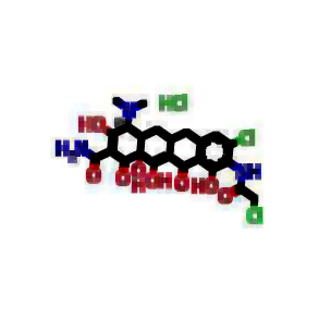 CN(C)[C@@H]1C(O)=C(C(N)=O)C(=O)C2(O)C(O)=C3C(=O)c4c(cc(Cl)c(NC(=O)CCl)c4O)CC3CC12.Cl